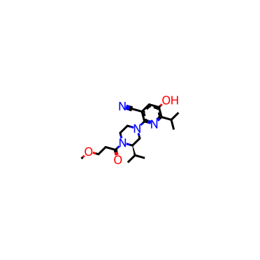 COCCC(=O)N1CCN(c2nc(C(C)C)c(O)cc2C#N)C[C@H]1C(C)C